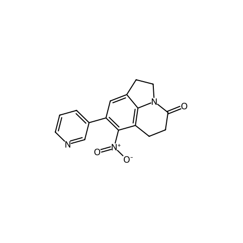 O=C1CCc2c3c(cc(-c4cccnc4)c2[N+](=O)[O-])CCN13